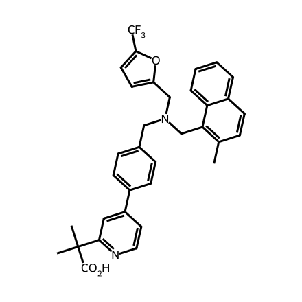 Cc1ccc2ccccc2c1CN(Cc1ccc(-c2ccnc(C(C)(C)C(=O)O)c2)cc1)Cc1ccc(C(F)(F)F)o1